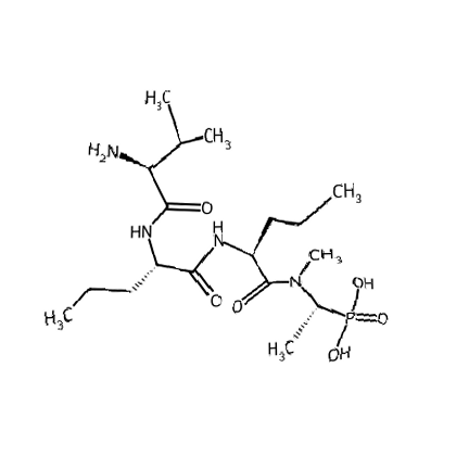 CCC[C@H](NC(=O)[C@@H](N)C(C)C)C(=O)N[C@@H](CCC)C(=O)N(C)[C@@H](C)P(=O)(O)O